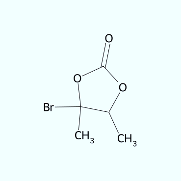 CC1OC(=O)OC1(C)Br